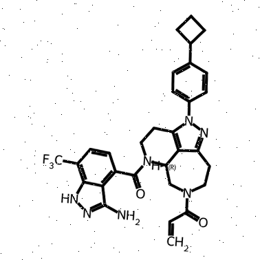 C=CC(=O)N1CCc2nn(-c3ccc(C4CCC4)cc3)c3c2[C@H](C1)N(C(=O)c1ccc(C(F)(F)F)c2[nH]nc(N)c12)CC3